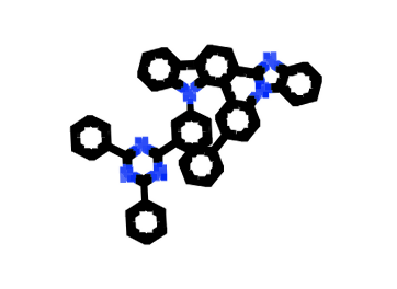 c1ccc(-c2ccc3c(c2)c2c(ccc4c5ccccc5n(-c5cccc(-c6nc(-c7ccccc7)nc(-c7ccccc7)n6)c5)c42)c2nc4ccccc4n32)cc1